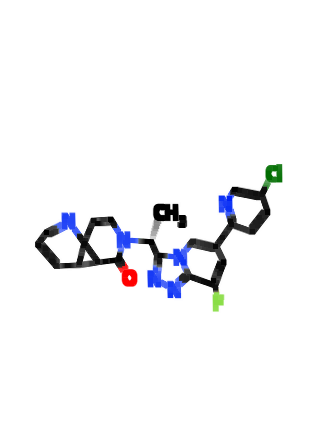 C[C@H](c1nnc2c(F)cc(-c3ccc(Cl)cn3)cn12)N1C=CC23N=CC=CC2C3C1=O